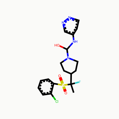 CC(F)(C1CCN(C(O)Nc2ccnnc2)CC1)S(=O)(=O)c1ccccc1Cl